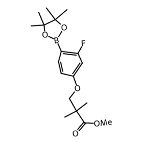 COC(=O)C(C)(C)COc1ccc(B2OC(C)(C)C(C)(C)O2)c(F)c1